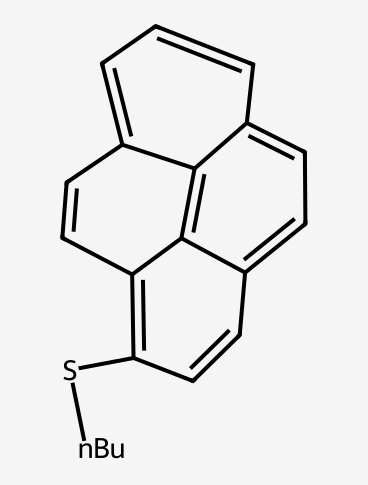 CCCCSc1ccc2ccc3cccc4ccc1c2c34